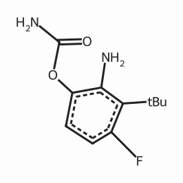 CC(C)(C)c1c(F)ccc(OC(N)=O)c1N